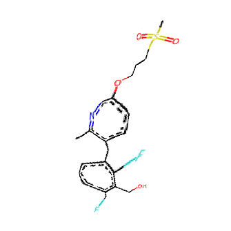 Cc1nc(OCCCS(C)(=O)=O)ccc1-c1ccc(F)c(CO)c1F